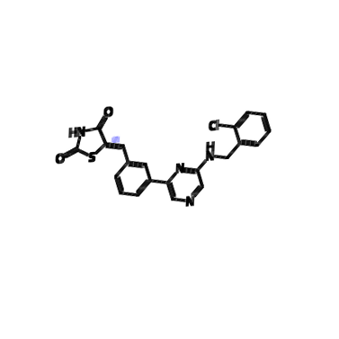 O=C1NC(=O)/C(=C/c2cccc(-c3cncc(NCc4ccccc4Cl)n3)c2)S1